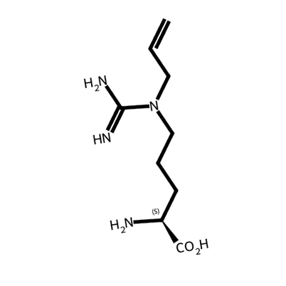 C=CCN(CCC[C@H](N)C(=O)O)C(=N)N